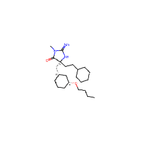 CCCCO[C@@H]1CCC[C@H](C[C@@]2(CCC3CCCCC3)NC(=N)N(C)C2=O)C1